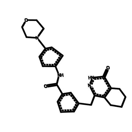 O=C(Nc1ccc(N2CCOCC2)cc1)c1cccc(Cc2n[nH]c(=O)c3c2CCCC3)c1